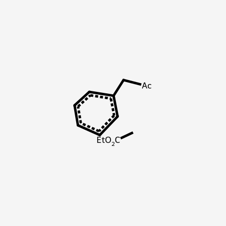 CC(=O)Cc1ccccc1.CCOC(C)=O